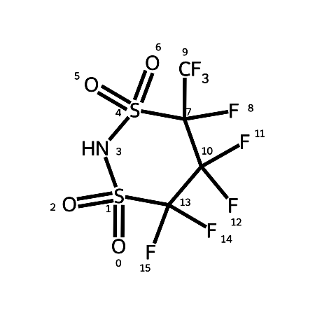 O=S1(=O)NS(=O)(=O)C(F)(C(F)(F)F)C(F)(F)C1(F)F